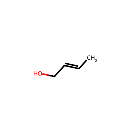 [CH2]C=CCO